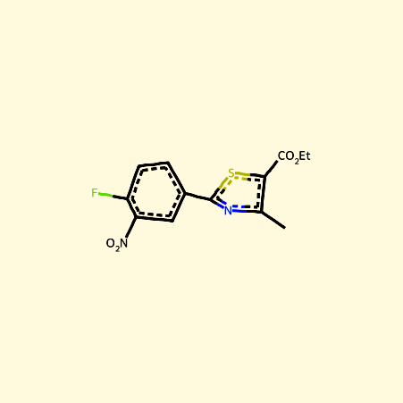 CCOC(=O)c1sc(-c2ccc(F)c([N+](=O)[O-])c2)nc1C